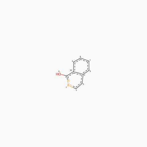 Oc1pccc2ccccc12